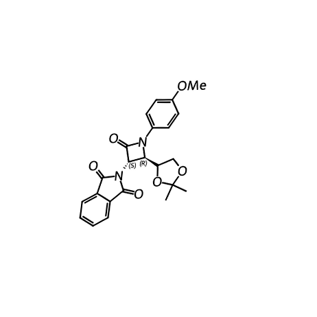 COc1ccc(N2C(=O)[C@@H](N3C(=O)c4ccccc4C3=O)[C@@H]2C2COC(C)(C)O2)cc1